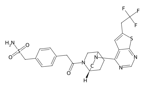 NS(=O)(=O)Cc1ccc(CC(=O)N2CC3CC[C@H]2CN3c2ncnc3sc(CC(F)(F)F)cc23)cc1